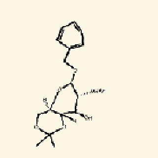 CC(=O)N[C@H]1[C@H](OCc2ccccc2)O[C@@H]2COC(C)(C)O[C@H]2[C@@H]1O